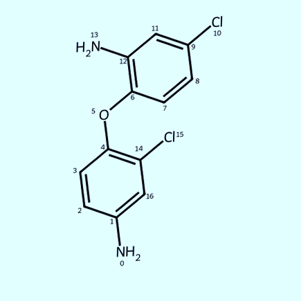 Nc1ccc(Oc2ccc(Cl)cc2N)c(Cl)c1